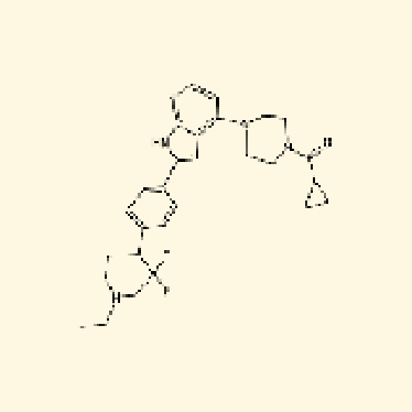 CCN1CCC(c2ccc(-c3cc4c(N5CCN(C(=O)C6CC6)CC5)ccnc4[nH]3)cc2)C(F)(F)C1